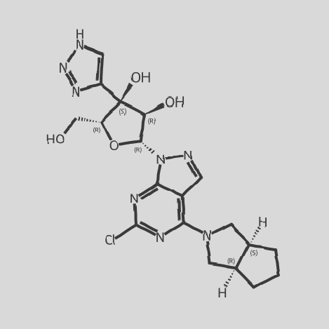 OC[C@H]1O[C@@H](n2ncc3c(N4C[C@H]5CCC[C@H]5C4)nc(Cl)nc32)[C@H](O)[C@@]1(O)c1c[nH]nn1